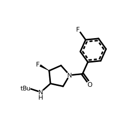 CC(C)(C)NC1CN(C(=O)c2cccc(F)c2)C[C@@H]1F